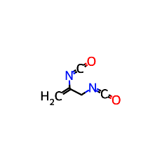 C=C(CN=C=O)N=C=O